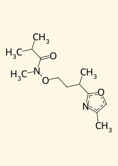 Cc1coc(C(C)CCON(C)C(=O)C(C)C)n1